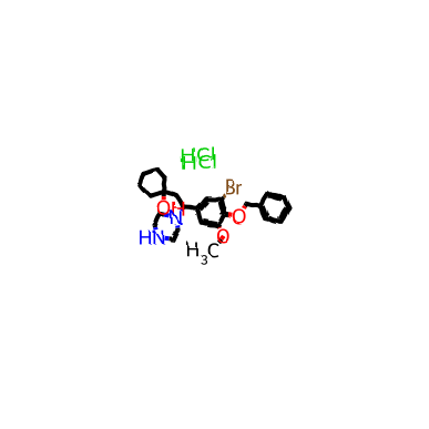 COc1cc(C(CC2(O)CCCCC2)N2CCNCC2)cc(Br)c1OCc1ccccc1.Cl.Cl